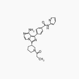 CCC(=O)N1CCC[C@@H](c2nc(-c3ccc(C(=O)Nc4ccccn4)cc3)c3c(N)nccn23)C1